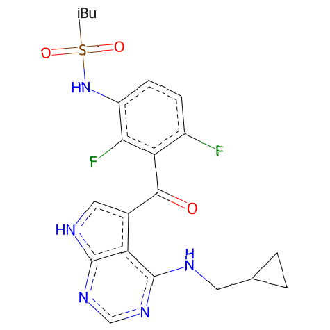 CCC(C)S(=O)(=O)Nc1ccc(F)c(C(=O)c2c[nH]c3ncnc(NCC4CC4)c23)c1F